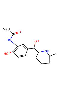 COC(=O)Nc1cc(C(O)C2CCCC(C)N2)ccc1O